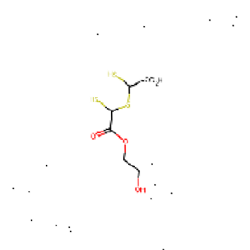 O=C(O)C(S)SC(S)C(=O)OCCO